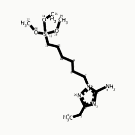 CCc1nc(N)n(CCCCCC[Si](OC)(OC)OC)n1